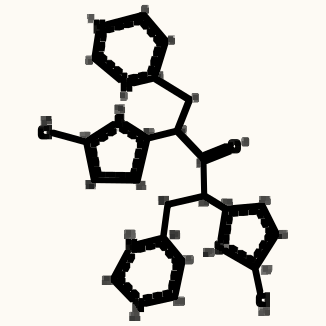 O=C(C(Cc1ccncn1)c1ccc(Cl)s1)C(Cc1ccncn1)c1ccc(Cl)s1